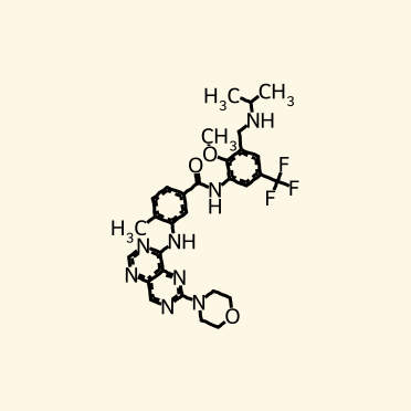 COc1c(CNC(C)C)cc(C(F)(F)F)cc1NC(=O)c1ccc(C)c(Nc2ncnc3cnc(N4CCOCC4)nc23)c1